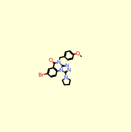 COc1ccc(Cn2c(=O)c3cc(Br)ccc3n3c(N4CCCC4)nnc23)cc1